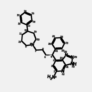 Nc1cc([C@H](CCCN2CCCC(c3ccccc3)CC2)c2ccccc2)c2nn[nH]c2n1